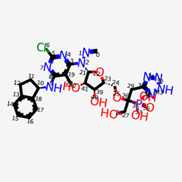 C=NN(c1nc(Cl)nc(N[C@@H]2CCc3ccccc32)c1C)[C@@H]1O[C@H](COC(CO)(Cc2nn[nH]n2)P(=O)(O)O)[C@@H](O)[C@H]1O